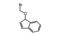 BrCOC1[C]=Cc2ccccc21